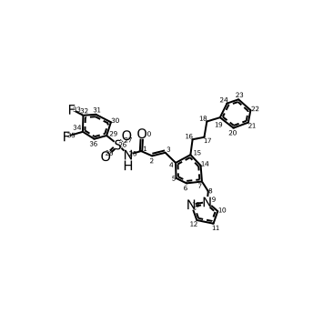 O=C(C=Cc1ccc(Cn2cccn2)cc1CCCc1ccccc1)NS(=O)(=O)c1ccc(F)c(F)c1